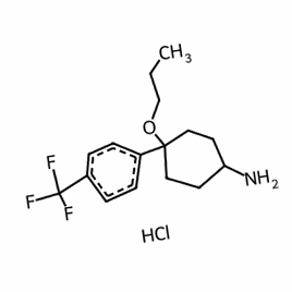 CCCOC1(c2ccc(C(F)(F)F)cc2)CCC(N)CC1.Cl